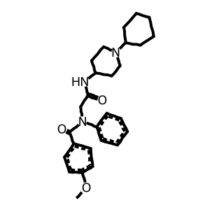 COc1ccc(C(=O)N(CC(=O)NC2CCN(C3CCCCC3)CC2)c2ccccc2)cc1